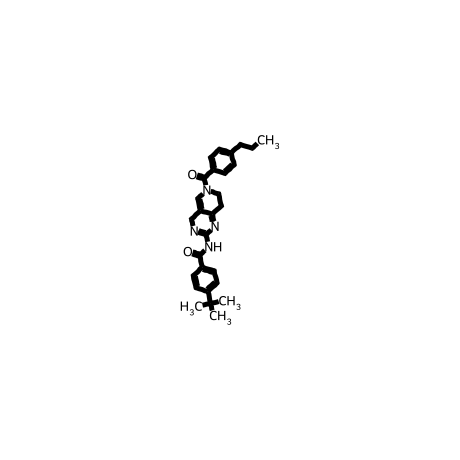 CCCc1ccc(C(=O)N2C=C3CN=C(NC(=O)c4ccc(C(C)(C)C)cc4)N=C3CC2)cc1